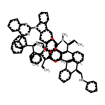 C=Cc1c(/C=C\C)n(C/N=C(/c2ccccc2)c2ccccc2N=C)c2ccc(/C(=C/C)c3ccccc3C(=CNc3ccccc3)c3cccc(C(/C(=C\C)N(C)c4ccccc4)=c4\cccc\c4=C/c4ccc5c(c4)c4ccccc4n5-c4nc(-c5ccccc5)c5ccccc5n4)c3C)cc12